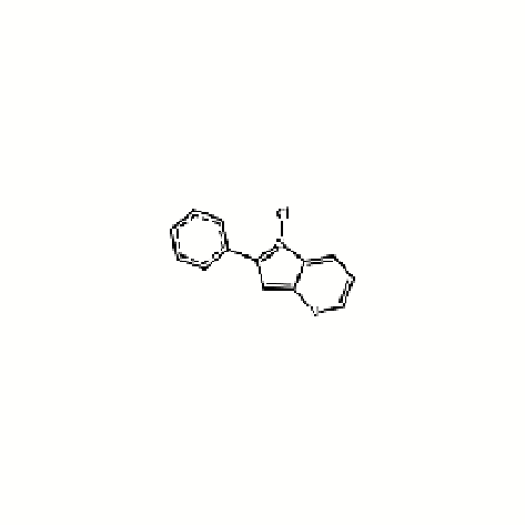 ClS1=C(c2ccccc2)C=C2[N]C=CC=C21